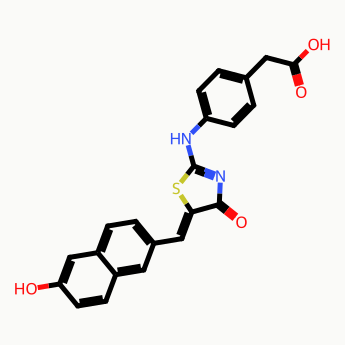 O=C(O)Cc1ccc(NC2=NC(=O)/C(=C/c3ccc4cc(O)ccc4c3)S2)cc1